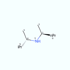 CCC[C@H](C)N[C@@H](C)C(C)C